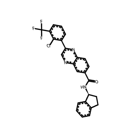 O=C(N[C@H]1CCc2ccccc21)c1ccc2nc(-c3cccc(C(F)(F)F)c3Cl)cnc2c1